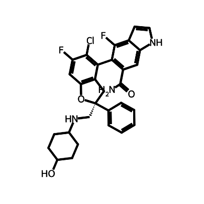 NC(=O)c1cc2[nH]ccc2c(F)c1-c1c(Cl)c(F)cc2c1C[C@@](CNC1CCC(O)CC1)(c1ccccc1)O2